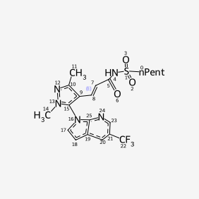 CCCCCS(=O)(=O)NC(=O)/C=C/c1c(C)nn(C)c1-n1ccc2cc(C(F)(F)F)cnc21